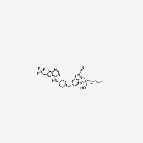 CCCOCC(O)(CO)Cn1c(C#N)cc2cc(CN3CCC(Nc4ncnc5sc(CC(F)(F)F)cc45)CC3)ccc21